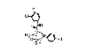 CN1[C@@H](C(=O)Nc2ccc(F)c(Cl)c2)C[C@@H](c2ccc(Cl)cc2)NS1(=O)=O